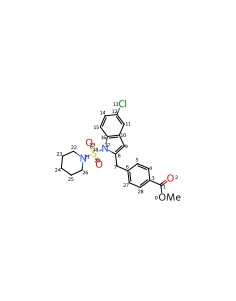 COC(=O)c1ccc(Cc2cc3cc(Cl)ccc3n2S(=O)(=O)N2CCCCC2)cc1